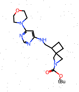 CC(C)(C)OC(=O)N1CC2(CCC2CNc2cc(N3CCOCC3)ncn2)C1